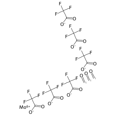 O=C([O-])C(F)(F)F.O=C([O-])C(F)(F)F.O=C([O-])C(F)(F)F.O=C([O-])C(F)(F)F.O=C([O-])C(F)(F)F.O=C([O-])C(F)(F)F.[C]=O.[C]=O.[C]=O.[Mo+6]